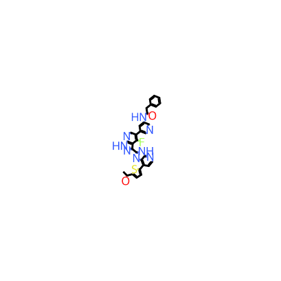 CC(=O)c1ccc(-c2ccnc3[nH]c(-c4n[nH]c5ncc(-c6cncc(NC(=O)Cc7ccccc7)c6)c(F)c45)nc23)s1